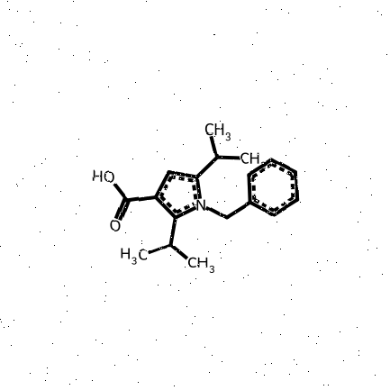 CC(C)c1cc(C(=O)O)c(C(C)C)n1Cc1ccccc1